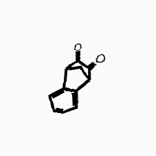 O=C1C(=O)C2CC1c1ccccc12